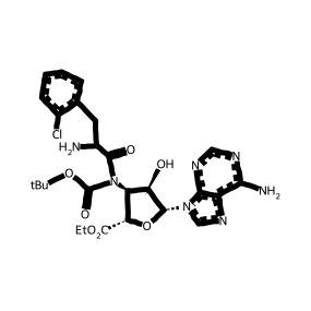 CCOC(=O)[C@H]1O[C@@H](n2cnc3c(N)ncnc32)[C@H](O)[C@@H]1N(C(=O)OC(C)(C)C)C(=O)C(N)Cc1ccccc1Cl